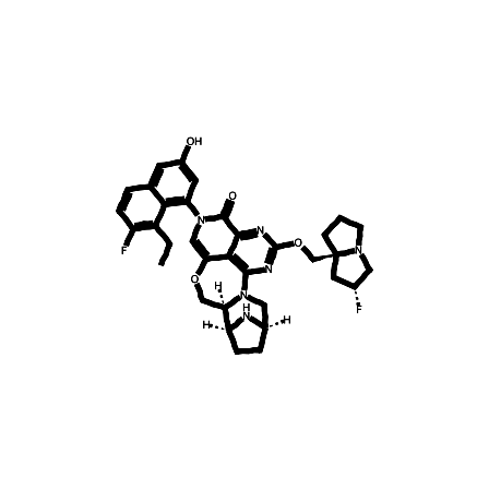 CCc1c(F)ccc2cc(O)cc(-n3cc4c5c(nc(OC[C@@]67CCCN6C[C@H](F)C7)nc5c3=O)N3C[C@H]5CC[C@H](N5)[C@H]3CO4)c12